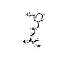 C=C(/C=C/NCC1CN(C)CCO1)C(=O)OC